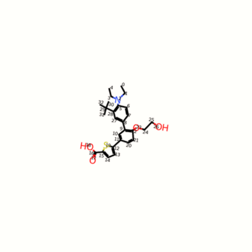 CCN(CC)c1ccc(-c2cc(-c3ccc(C(=O)O)s3)ccc2OCCO)cc1C(C)(C)C